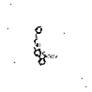 COC(=O)c1ccccc1-c1ccc(CNCCCc2ccccc2)cc1